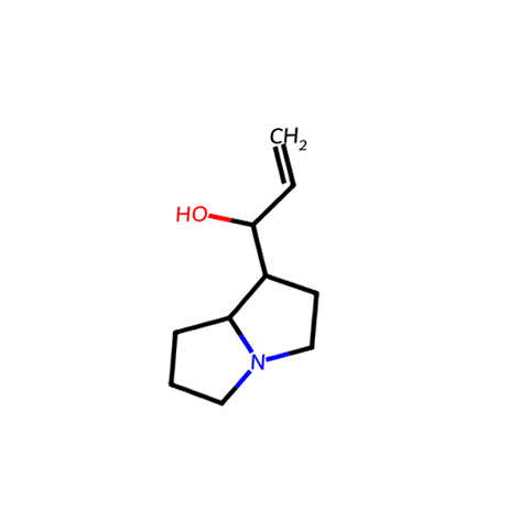 C=CC(O)C1CCN2CCCC12